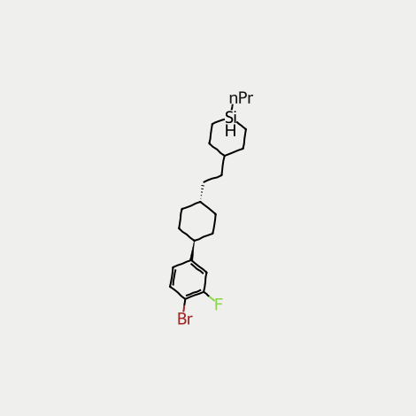 CCC[SiH]1CCC(CC[C@H]2CC[C@H](c3ccc(Br)c(F)c3)CC2)CC1